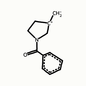 [CH2-][C+]1CCN(C(=O)c2ccccc2)C1